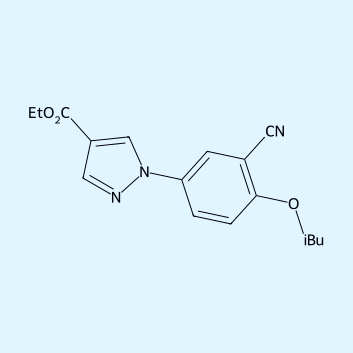 CCOC(=O)c1cnn(-c2ccc(OC(C)CC)c(C#N)c2)c1